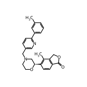 Cc1cccc(-c2ccc(CN3CCO[C@H](c4ccc5c(c4C)COC5=O)C3)cn2)c1